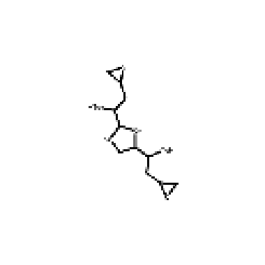 [TeH]C(CC1CS1)C1C[Se]C(C([TeH])CC2CS2)[Se]1